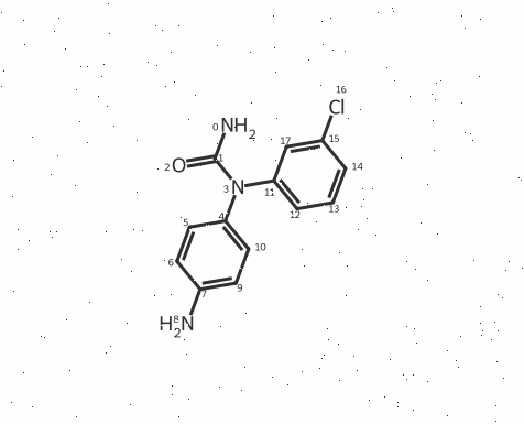 NC(=O)N(c1ccc(N)cc1)c1cccc(Cl)c1